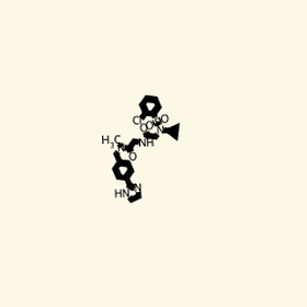 CN(Cc1ccc(C2=NCCN2)cc1)C(=O)CNC(=O)CN(C1CC1)S(=O)(=O)c1ccccc1Cl